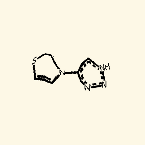 [CH]1SC=CN1c1c[nH]nn1